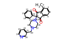 Cc1cccc2c1C(=O)C(c1ccccc1)(N1CCN(Cc3cccnc3)CC1)C2=O